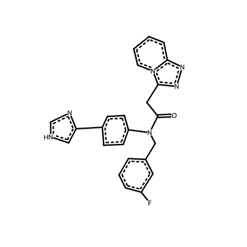 O=C(Cc1nnc2ccccn12)N(Cc1cccc(F)c1)c1ccc(-c2c[nH]cn2)cc1